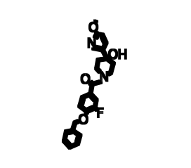 COc1ccc(C2(O)CCN(CC(=O)c3ccc(OCc4ccccc4)c(F)c3)CC2)cn1